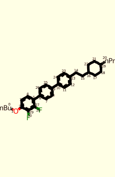 CCCCOc1ccc(-c2ccc(-c3ccc(CCC4CCC(CCC)CC4)cc3)cc2)c(F)c1F